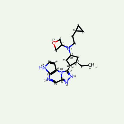 CC[C@@H]1C[C@H](N(CCC2CC2)C2COC2)C[C@@H]1c1nnc2cnc3[nH]ccc3n12